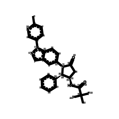 Cc1ccc(-n2ncc3cc(N4C(=O)C[C@@H](NC(=O)C(C)(F)F)[C@@H]4c4ccccc4)ccc32)cn1